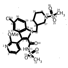 COc1ncccc1-c1c(C(=O)NS(C)(=O)=O)n(CC2CCCN(S(C)(=O)=O)C2)c2ccc(Cl)cc12